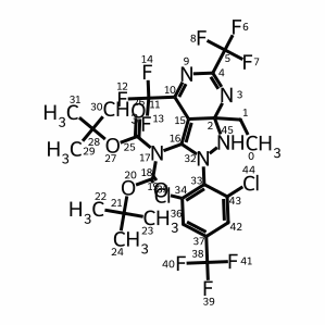 CCC12N=C(C(F)(F)F)N=C(C(F)(F)F)C1=C(N(C(=O)OC(C)(C)C)C(=O)OC(C)(C)C)N(c1c(Cl)cc(C(F)(F)F)cc1Cl)N2